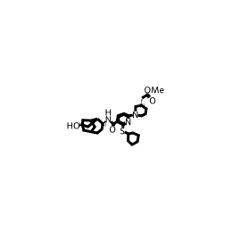 COC(=O)C[C@@H]1CCCN(c2ccc(C(=O)N[C@H]3CCC4CC5C[C@@](O)(C4)CC53)c(SC3CCCCC3)n2)C1